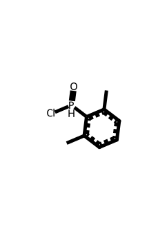 Cc1cccc(C)c1[PH](=O)Cl